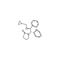 O=C1CCCN1[C@@H](c1ccccn1)[C@@H](OCC1CC1)c1ccccc1